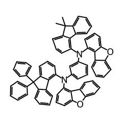 CC1(C)c2ccccc2-c2c(N(c3cccc(N(c4cccc5c4-c4ccccc4C5(c4ccccc4)c4ccccc4)c4cccc5oc6ccccc6c45)c3)c3cccc4oc5ccccc5c34)cccc21